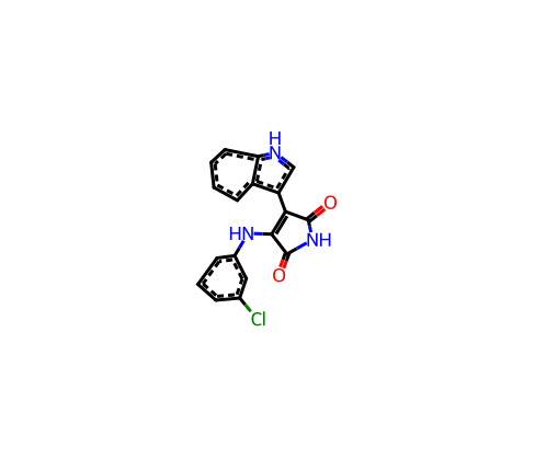 O=C1NC(=O)C(c2c[nH]c3ccccc23)=C1Nc1cccc(Cl)c1